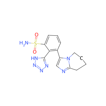 NS(=O)(=O)c1cccc(-c2cnc3n2CCCC3)c1-c1nnn[nH]1